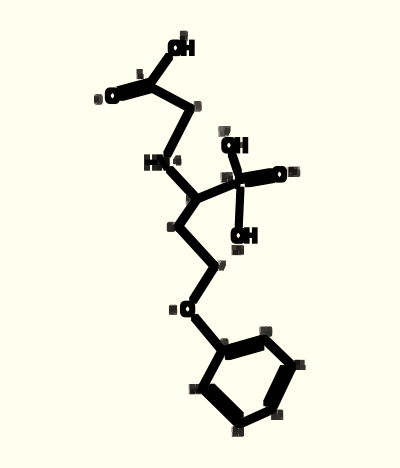 O=C(O)CNC(CCOc1ccccc1)P(=O)(O)O